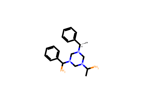 CC(P)N1CN(C(P)c2ccccc2)CN([C@@H](C)c2ccccc2)C1